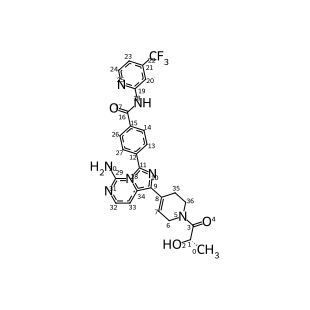 C[C@H](O)C(=O)N1CC=C(c2nc(-c3ccc(C(=O)Nc4cc(C(F)(F)F)ccn4)cc3)n3c(N)nccc23)CC1